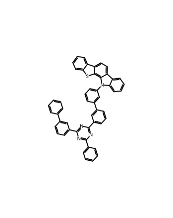 c1ccc(-c2cccc(-c3nc(-c4ccccc4)nc(-c4cccc(-c5cccc(-n6c7ccccc7c7ccc8c9ccccc9sc8c76)c5)c4)n3)c2)cc1